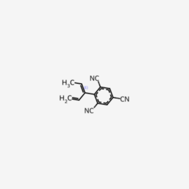 C=C/C(=C\C)c1c(C#N)cc(C#N)cc1C#N